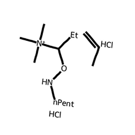 C=CC.CCCCCNOC(CC)[N+](C)(C)C.Cl.Cl